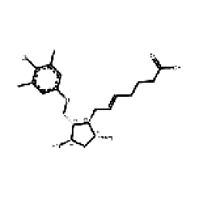 Cc1cc(OC[C@@H]2[C@@H](CC=CCCCC(=O)O)[C@H](Cl)C[C@H]2O)cc(C)c1Cl